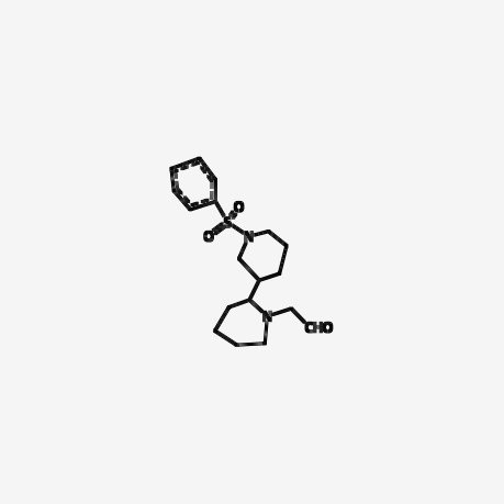 O=CCN1CCCCC1C1CCCN(S(=O)(=O)c2ccccc2)C1